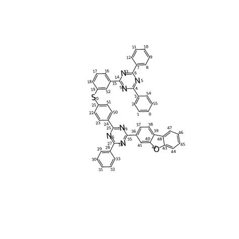 c1ccc(-c2nc(-c3ccccc3)nc(-c3cccc(Sc4ccc(-c5nc(-c6ccccc6)nc(-c6ccc7c(c6)oc6ccccc67)n5)cc4)c3)n2)cc1